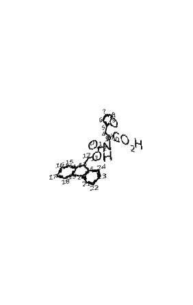 O=C(N[C@H](Cc1ccco1)C(=O)O)OCC1c2ccccc2-c2ccccc21